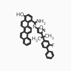 CC(C)(c1ccc(-c2ccccc2)c(F)c1)c1cc(N=C(N)c2ccc(O)c3ccc4c5ccc6ccccc6c5ccc4c23)on1